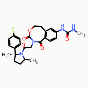 CNC(=O)Nc1ccc2c(c1)CCOC(=O)N(CC(=O)N1[C@@H](C)CC[C@@]1(C)c1ccc(F)cc1)C2=O